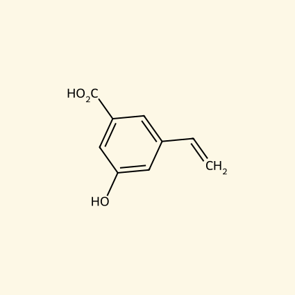 C=Cc1cc(O)cc(C(=O)O)c1